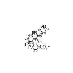 O=C(O)c1ccc(F)cc1Nc1c(SN2CCOCC2)cnc2ccc(Cl)cc12